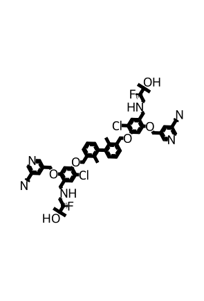 Cc1c(COc2cc(OCc3cncc(C#N)c3)c(CNC[C@@H](F)C(C)(C)O)cc2Cl)cccc1-c1cccc(COc2cc(OCc3cncc(C#N)c3)c(CNC[C@@H](F)C(C)(C)O)cc2Cl)c1C